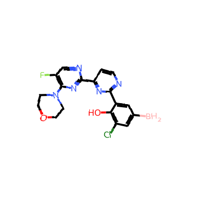 Bc1cc(Cl)c(O)c(-c2nccc(-c3ncc(F)c(N4CCOCC4)n3)n2)c1